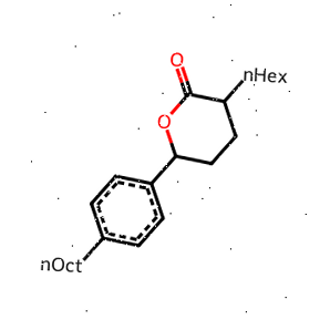 CCCCCCCCc1ccc(C2CCC(CCCCCC)C(=O)O2)cc1